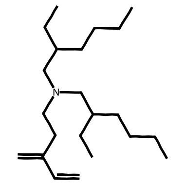 C=CC(=C)CCN(CC(CC)CCCC)CC(CC)CCCC